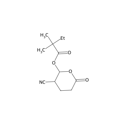 CCC(C)(C)C(=O)OC1OC(=O)CCC1C#N